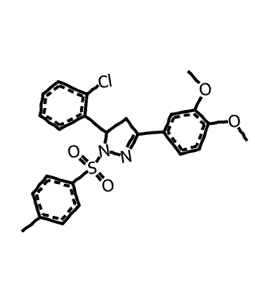 COc1ccc(C2=NN(S(=O)(=O)c3ccc(C)cc3)C(c3ccccc3Cl)C2)cc1OC